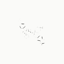 CN=[S@](=O)(c1ccc(OC)cc1)N1CCC[C@H]1C(=O)N(Cc1ccc2scnc2c1)C1CCC(F)(F)CC1